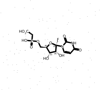 O=C(O)CP(=O)(O)OC[C@H]1O[C@@](F)(n2ccc(=O)[nH]c2=O)[C@H](O)[C@@H]1O